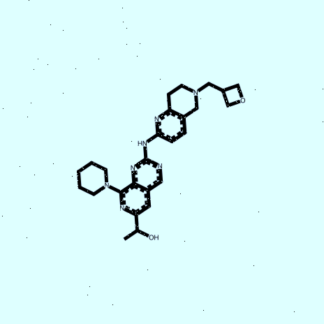 CC(O)c1cc2cnc(Nc3ccc4c(n3)CCN(CC3COC3)C4)nc2c(N2CCCCC2)n1